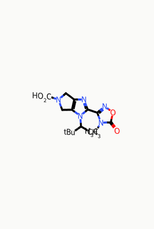 CC(n1c(-c2noc(=O)n2C)nc2c1CN(C(=O)O)C2)C(C)(C)C